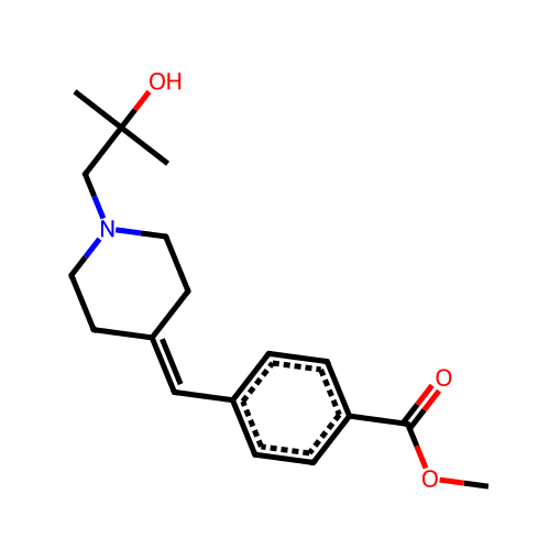 COC(=O)c1ccc(C=C2CCN(CC(C)(C)O)CC2)cc1